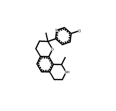 CC1NCCc2ccc3c(c21)OC(C)(c1ccc(Cl)cn1)CC3